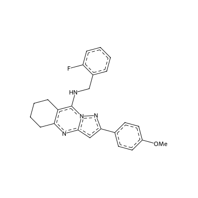 COc1ccc(-c2cc3nc4c(c(NCc5ccccc5F)n3n2)CCCC4)cc1